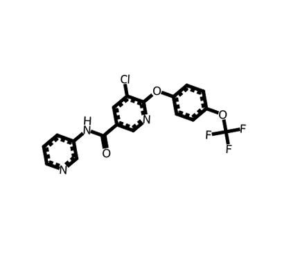 O=C(Nc1cccnc1)c1cnc(Oc2ccc(OC(F)(F)F)cc2)c(Cl)c1